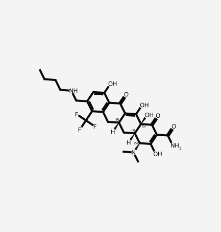 CCCCNCc1cc(O)c2c(c1C(F)(F)F)C[C@H]1C[C@H]3[C@H](N(C)C)C(O)=C(C(N)=O)C(=O)[C@@]3(O)C(O)=C1C2=O